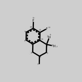 [2H]C1([2H])CC(C)Cc2ccc(F)c(F)c21